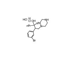 CCCC(O)(CCC)C(CN1CCNCC1)c1cccc(Br)c1.Cl.Cl